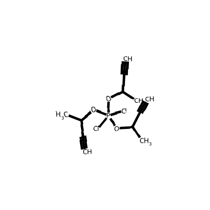 C#CC(C)OP(Cl)(Cl)(OC(C)C#C)OC(C)C#C